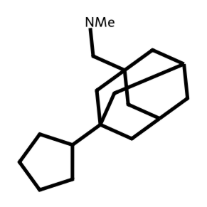 CNCC12CC3CC(C1)CC(C1CCCC1)(C3)C2